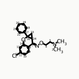 CN(C)CCON=C1c2ccc(Cl)cc2OC2(c3ccccc3)CC12